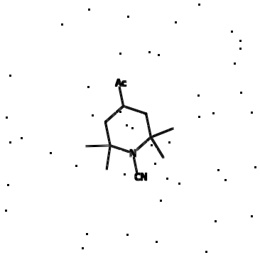 CC(=O)C1CC(C)(C)N(C#N)C(C)(C)C1